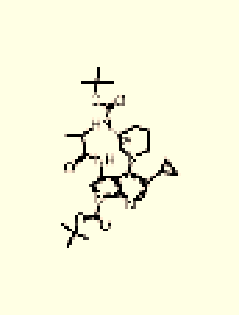 CC(C)C(=O)Nc1cn(C(=O)OC(C)(C)C)c2ncc(C3CC3)c(N3CCC[C@@H](NC(=O)OC(C)(C)C)C3)c12